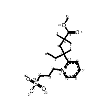 CCC(C)(CC(C)(C)C(=O)OC)c1cccc[n+]1CCCS(=O)(=O)[O-]